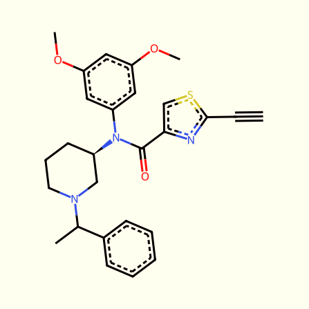 C#Cc1nc(C(=O)N(c2cc(OC)cc(OC)c2)[C@@H]2CCCN(C(C)c3ccccc3)C2)cs1